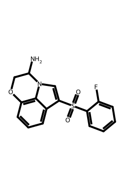 NC1COc2cccc3c(S(=O)(=O)c4ccccc4F)cn1c23